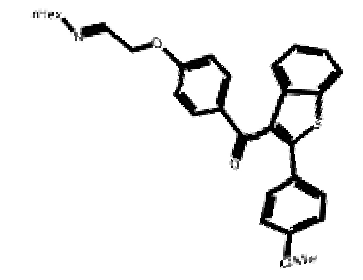 CCCCCCN=CCOc1ccc(C(=O)c2c(-c3ccc(OC)cc3)sc3ccccc23)cc1